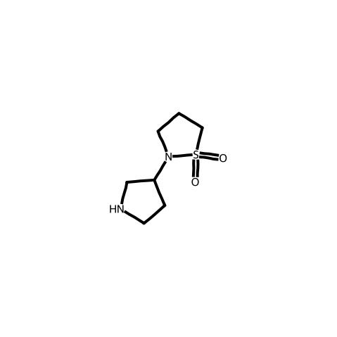 O=S1(=O)CCCN1C1CCNC1